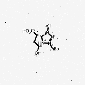 CCCC[N+]1=NN(Cl)CN1.O=C(O)CCCBr